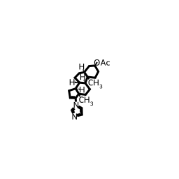 CC(=O)O[C@H]1CC[C@@]2(C)[C@@H](CC[C@@H]3[C@@H]2CC[C@]2(C)C(n4ccnc4)=CC[C@@H]32)C1